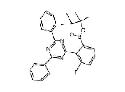 CC1(C)OB(c2cccc(F)c2-c2nc(-c3ccccc3)nc(-c3ccccc3)n2)OC1(C)C